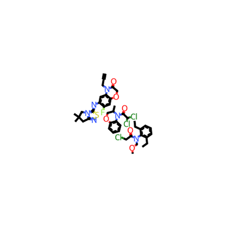 C#CCN1C(=O)COc2cc(F)c(/N=c3\snc4n3CC(C)(C)C4)cc21.CC1COc2ccccc2N1C(=O)C(Cl)Cl.CCc1cccc(CC)c1N(COC)C(=O)CCl